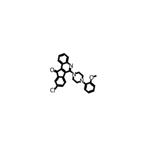 COc1ccccc1N1CCN(c2nc3ccccc3c3c2-c2ccc(Cl)cc2C3=O)CC1